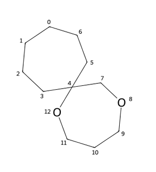 C1CCCC2(CC1)COCCCO2